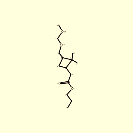 CCCOC(=O)CC1CC(COCOC)C1(C)C